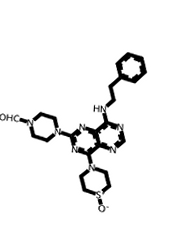 O=CN1CCN(c2nc(N3CC[S+]([O-])CC3)c3ncnc(NCCc4ccccc4)c3n2)CC1